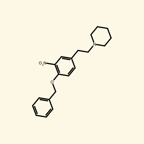 O=[N+]([O-])c1cc(CCN2CCCCC2)ccc1OCc1ccccc1